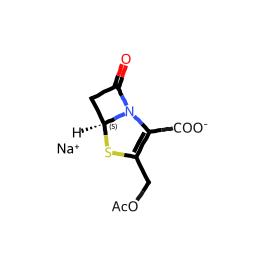 CC(=O)OCC1=C(C(=O)[O-])N2C(=O)C[C@@H]2S1.[Na+]